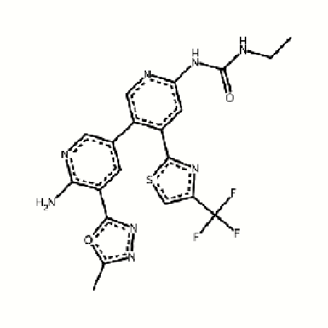 CCNC(=O)Nc1cc(-c2nc(C(F)(F)F)cs2)c(-c2cnc(N)c(-c3nnc(C)o3)c2)cn1